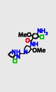 COc1cc(N)c(Cl)cc1C(=O)NC1CCN(CCNc2ncccc2Cl)CC1OC